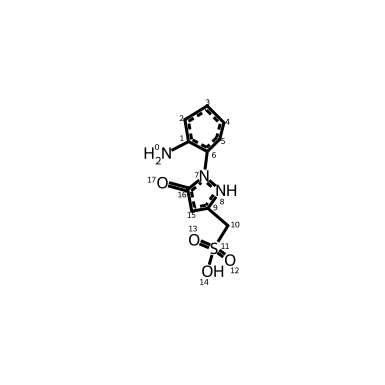 Nc1ccccc1-n1[nH]c(CS(=O)(=O)O)cc1=O